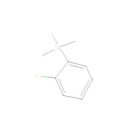 C[Si](C)(Cl)c1ccccc1Cl